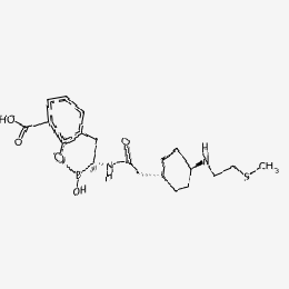 CSCCN[C@H]1CC[C@H](CC(=O)N[C@H]2Cc3cccc(C(=O)O)c3OB2O)CC1